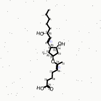 CCCCC[C@@H](O)/C=C/[C@@H]1[C@@H](C)[C@H](O/C(C)=C\CCCC(=O)O)C[C@@H]1O